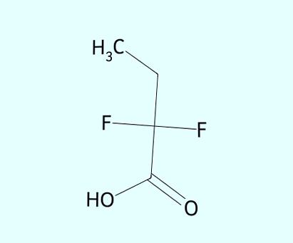 CCC(F)(F)C(=O)O